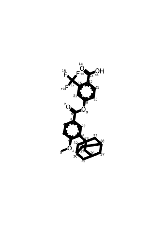 COc1ccc(C(=O)Oc2ccc(C(=O)O)c(C(F)(F)F)c2)cc1C12CC3CC(CC(C3)C1)C2